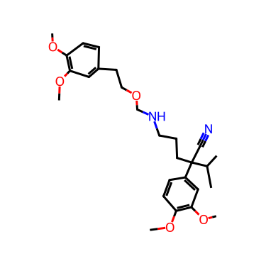 COc1ccc(CCOCNCCCC(C#N)(c2ccc(OC)c(OC)c2)C(C)C)cc1OC